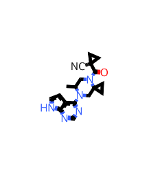 CC1CN(C(=O)C2(C#N)CC2)C2(CC2)CN1c1ncnc2[nH]ccc12